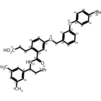 Cc1cc(C)cc(C(CC(C)C)NC(=O)c2cc(OCc3cccc(Oc4ccc(C(C)(C)C)cc4)c3)ccc2CCC(=O)O)c1